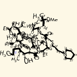 C/C=C/C[C@@H](C)[C@@H](O)[C@@H](C(=O)N[C@@H](CC)C(=O)N(C)[C@H](SCCCN1CCCCC1)C(=O)N(C)[C@@H](CC(C)(C)OC)C(N)=O)N(C)C(=O)[C@H](C(C)C)N(C)C(=O)[C@H](CC(C)C)N(C)C(=O)[C@H](CC(C)C)N(C)C(=O)CC